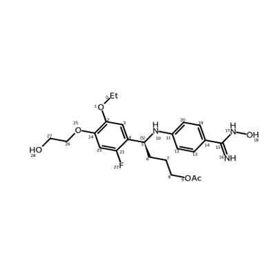 CCOc1cc([C@H](CCCOC(C)=O)Nc2ccc(C(=N)NO)cc2)c(F)cc1OCCO